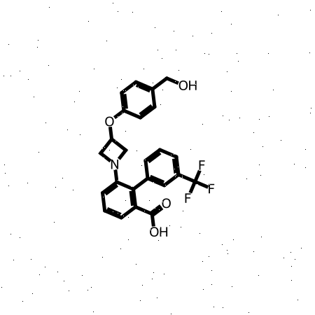 O=C(O)c1cccc(N2CC(Oc3ccc(CO)cc3)C2)c1-c1cccc(C(F)(F)F)c1